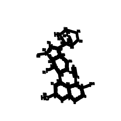 C#Cc1c(F)ccc2cc(O)cc(-c3ncc4c(C5CC6CCC5CN6)nn(C)c4c3F)c12